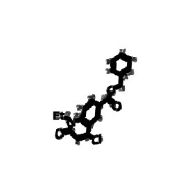 CCn1c(=O)cc(Cl)c2cc(C(=O)OCc3ccccc3)ccc21